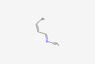 CN=C/C=C\C(C)C